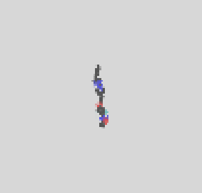 CCCCCc1cnc(N2CCC(CCCOc3cc(F)c(-c4noc(C(C)C)n4)c(F)c3)CC2)nc1